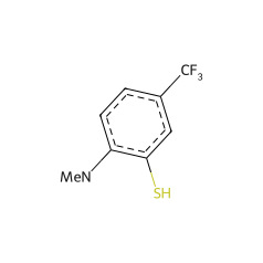 CNc1ccc(C(F)(F)F)cc1S